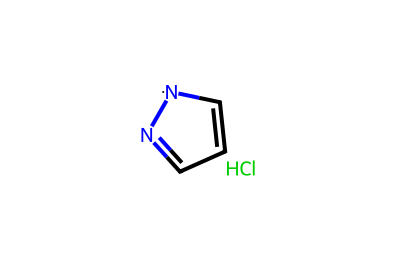 C1=C[N]N=C1.Cl